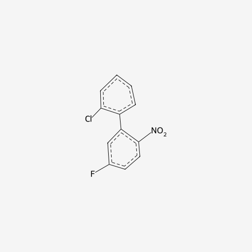 O=[N+]([O-])c1ccc(F)cc1-c1ccccc1Cl